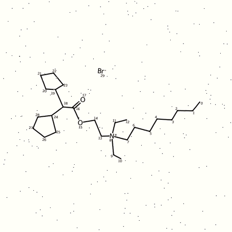 CCCCCCCC[N+](CC)(CC)CCOC(=O)C(C1CCCC1)C1CCCC1.[Br-]